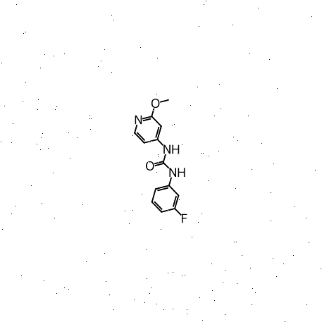 COc1cc(NC(=O)Nc2cccc(F)c2)ccn1